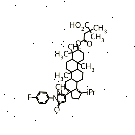 CC(C)C1=C2C3CCC4C(C)(CCC5C(C)(C)C(OC(=O)CC(C)(C)C(=O)O)CCC54C)C3CCC2(c2cc(=O)n(-c3ccc(F)cc3)n2C)CC1